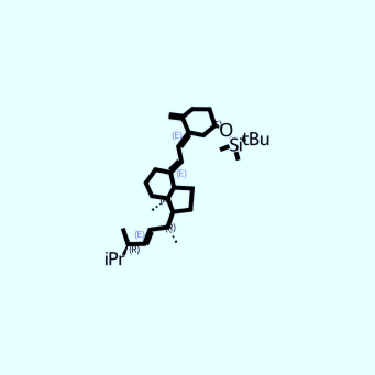 C=C1CC[C@H](O[Si](C)(C)C(C)(C)C)C/C1=C\C=C1/CCC[C@@]2(C)C1CCC2[C@H](C)/C=C/[C@H](C)C(C)C